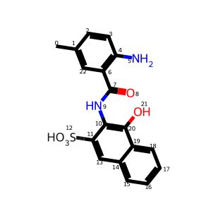 Cc1ccc(N)c(C(=O)Nc2c(S(=O)(=O)O)cc3ccccc3c2O)c1